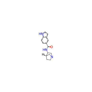 O=C(NC1CN2CC[C@H]1C2)c1ccc2[nH]ccc2c1